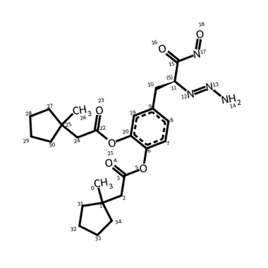 CC1(CC(=O)Oc2ccc(C[C@H](N=NN)C(=O)N=O)cc2OC(=O)CC2(C)CCCC2)CCCC1